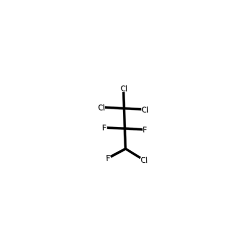 FC(Cl)C(F)(F)C(Cl)(Cl)Cl